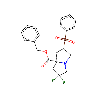 O=C(OCc1ccccc1)C12CC(S(=O)(=O)c3ccccc3)CN1CC(F)(F)C2